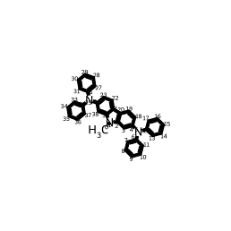 Cn1c2cc(N(c3ccccc3)c3ccccc3)ccc2c2ccc(N(c3ccccc3)c3ccccc3)cc21